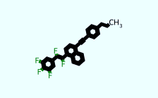 CCCc1ccc(C#Cc2ccc(/C(F)=C(\F)c3cc(F)c(F)c(F)c3)c3ccccc23)cc1